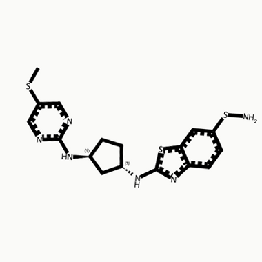 CSc1cnc(N[C@H]2CC[C@H](Nc3nc4ccc(SN)cc4s3)C2)nc1